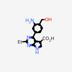 CCc1nc(-c2ccc(CO)c(N)c2)c2c(C(=O)O)c[nH]c2n1